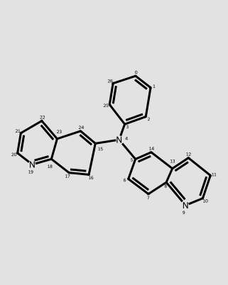 c1ccc(N(c2ccc3ncccc3c2)c2ccc3ncccc3c2)cc1